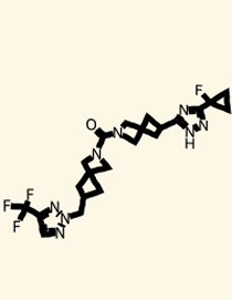 O=C(N1CC2(CC(Cn3ncc(C(F)(F)F)n3)C2)C1)N1CC2(CC(c3nc(C4(F)CC4)n[nH]3)C2)C1